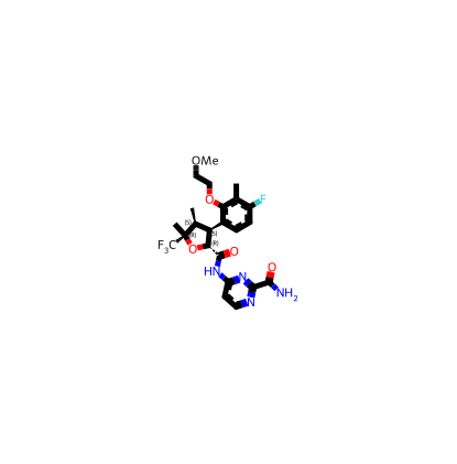 COCCOc1c([C@H]2[C@H](C(=O)Nc3ccnc(C(N)=O)n3)O[C@@](C)(C(F)(F)F)[C@H]2C)ccc(F)c1C